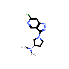 CN(C)[C@H]1CCN(c2n[nH]c3cc(Cl)ncc23)C1